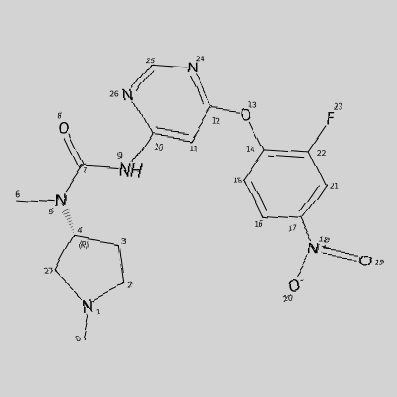 CN1CC[C@@H](N(C)C(=O)Nc2cc(Oc3ccc([N+](=O)[O-])cc3F)ncn2)C1